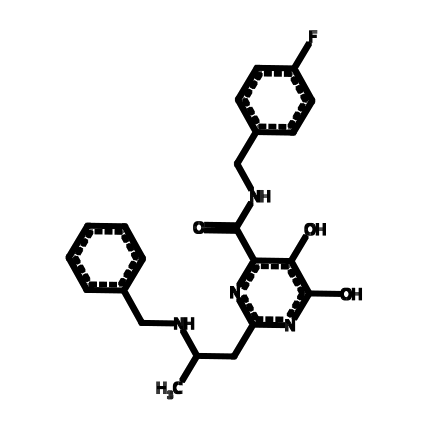 CC(Cc1nc(O)c(O)c(C(=O)NCc2ccc(F)cc2)n1)NCc1ccccc1